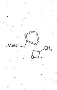 CC1COC1.COCc1ccccc1